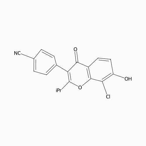 CC(C)c1oc2c(Cl)c(O)ccc2c(=O)c1-c1ccc(C#N)cc1